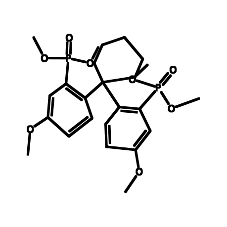 COc1ccc(C2(c3ccc(OC)cc3P(=O)(OC)OC)CCCCC2)c(P(=O)(OC)OC)c1